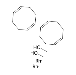 C1=C\CC/C=C\CC/1.C1=C\CC/C=C\CC/1.CO.CO.[Rh].[Rh]